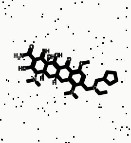 B=C1C(C(N)=O)=C(O)[C@@H](N(C)C)[C@@H]2C[C@@H]3Cc4c(c(OC)cc(CN(CC)CC5CCCC5)c4N(C)C)C(=O)C3=C(O)[C@]12O